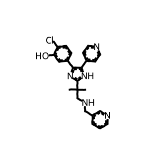 CC(C)(CNCc1cccnc1)c1nc(-c2ccc(Cl)c(O)c2)c(-c2ccncc2)[nH]1